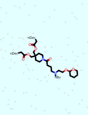 CCCCCCCCCCCC(=O)OCC1(COC(=O)CCCCCCCCCCC)CCN(C(=O)CCCN(CCCC)CCOC2CCCCO2)CC1